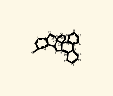 [CH2]c1ccc2c(c1)C1=CC3=C4CC=CC=C4c4ccccc4C34C=CC=CC14C=C2